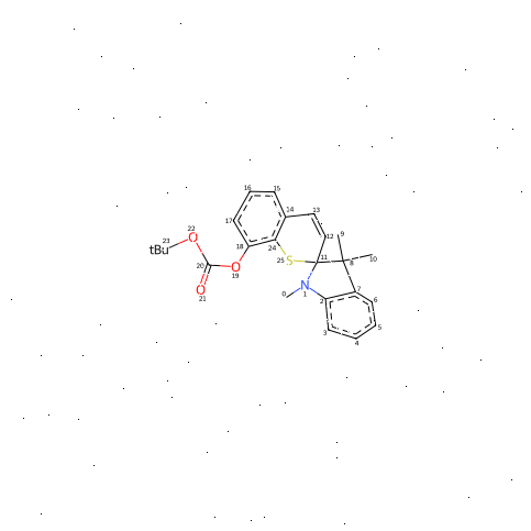 CN1c2ccccc2C(C)(C)C12C=Cc1cccc(OC(=O)OC(C)(C)C)c1S2